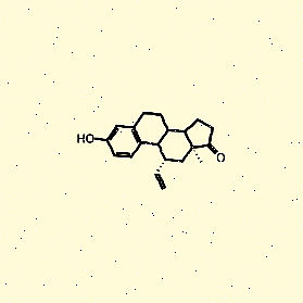 C=C[C@H]1C[C@]2(C)C(=O)CCC2C2CCc3cc(O)ccc3C21